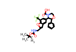 CC(C)(C)OC(=O)NCc1cc2cc(C3C(c4ccccc4)OCCN3C(=O)O)cc(C(F)(F)F)c2o1